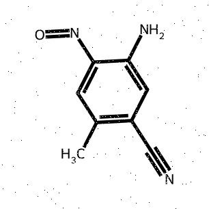 Cc1cc(N=O)c(N)cc1C#N